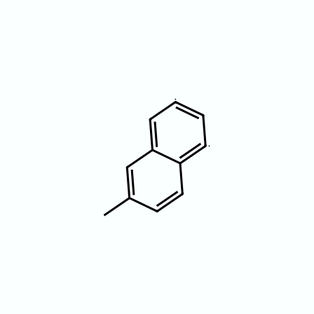 Cc1ccc2[c]c[c]cc2c1